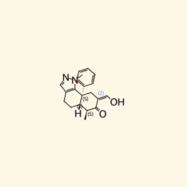 C[C@@H]1C(=O)/C(=C\O)C[C@]2(c3ccccc3)c3c(cnn3C)CC[C@@H]12